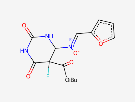 CC(C)COC(=O)C1(F)C(=O)NC(=O)NC1/[N+]([O-])=C/c1ccco1